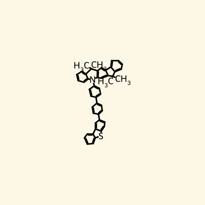 CC1(C)c2ccccc2-c2cc3c(cc21)N(c1ccc(-c2ccc(-c4ccc5sc6ccccc6c5c4)cc2)cc1)c1ccccc1C3(C)C